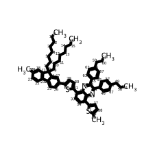 CCCCCCCCC1(CCCCCCCC)c2cc(C)ccc2-c2ccc(-c3ccc(-c4ccc(-c5ccc(C)s5)c5nc(-c6ccc(CCC)cc6)c(-c6ccc(CCC)cc6)nc45)s3)cc21